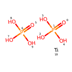 O=P(O)(O)O.O=P(O)(O)O.[Ti]